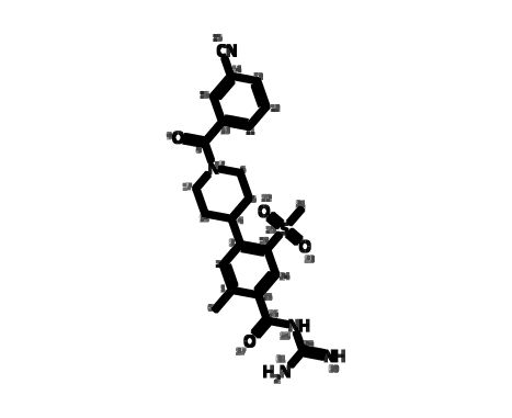 Cc1cc(C2CCN(C(=O)c3cccc(C#N)c3)CC2)c(S(C)(=O)=O)cc1C(=O)NC(=N)N